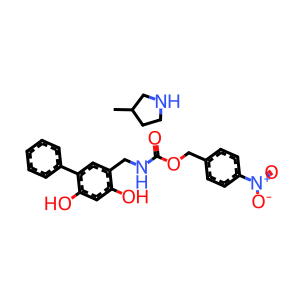 CC1CCNC1.O=C(NCc1cc(-c2ccccc2)c(O)cc1O)OCc1ccc([N+](=O)[O-])cc1